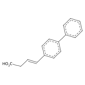 O=C(O)CC=Cc1ccc(-c2ccccc2)cc1